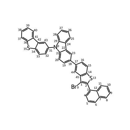 Brc1c(-c2cccc3ccccc23)sc2ccc(-c3ccc4c(c3)c3ccccc3n4-c3ccc4sc5ccccc5c4c3)cc12